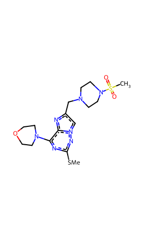 CSc1nc(N2CCOCC2)c2nc(CN3CCN(S(C)(=O)=O)CC3)cn2n1